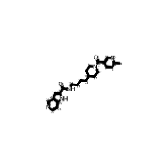 Cc1ccc(C(=O)N2CCC(CCCCNC(=O)c3cc4cnccc4[nH]3)CC2)cn1